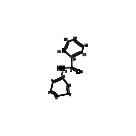 O=C(Nc1cc[c]cc1)c1ccccn1